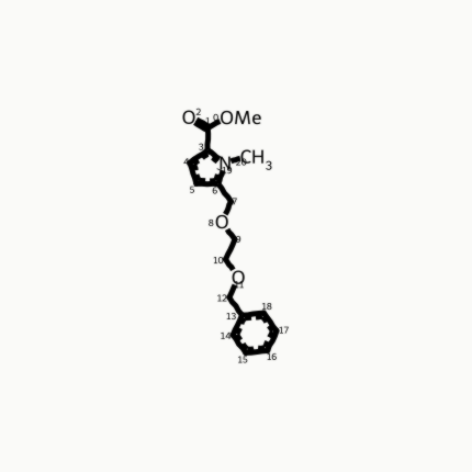 COC(=O)c1ccc(COCCOCc2ccccc2)n1C